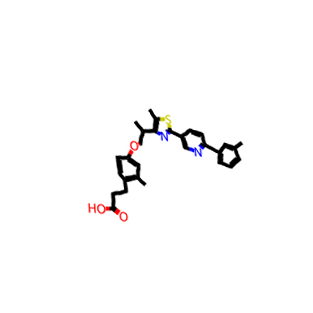 Cc1cccc(-c2ccc(-c3nc(C(C)COc4ccc(CCC(=O)O)c(C)c4)c(C)s3)cn2)c1